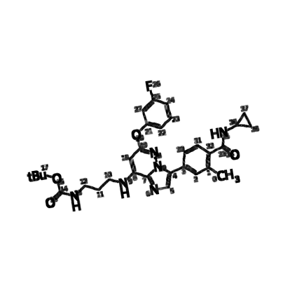 Cc1cc(-c2cnc3c(NCCCNC(=O)OC(C)(C)C)cc(Oc4cccc(F)c4)nn23)ccc1C(=O)NC1CC1